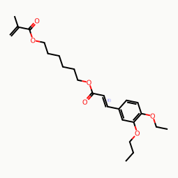 C=C(C)C(=O)OCCCCCCOC(=O)/C=C/c1ccc(OCC)c(OCCC)c1